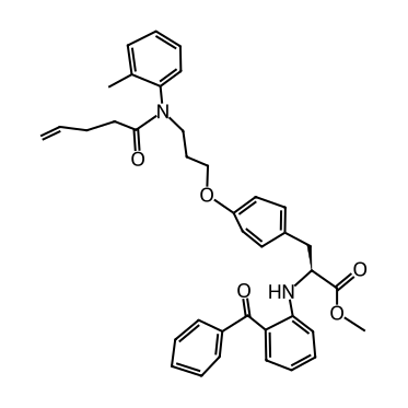 C=CCCC(=O)N(CCCOc1ccc(C[C@H](Nc2ccccc2C(=O)c2ccccc2)C(=O)OC)cc1)c1ccccc1C